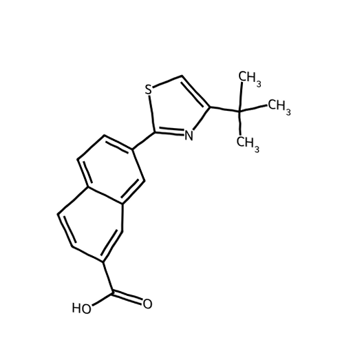 CC(C)(C)c1csc(-c2ccc3ccc(C(=O)O)cc3c2)n1